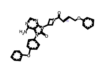 Nc1ncnc2c1n(-c1ccc(Oc3ccccc3)cc1)c(=O)n2C1CN(C(=O)/C=C/COc2ccccc2)C1